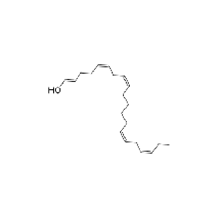 CC/C=C\C/C=C\CCCC/C=C\C/C=C\CC/C=C/O